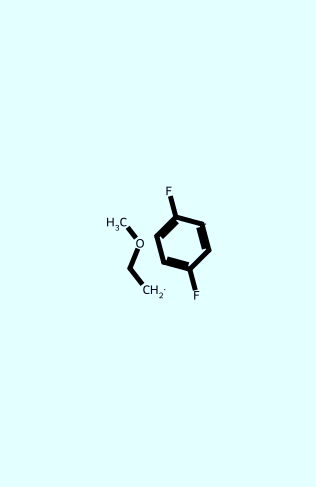 Fc1[c]cc(F)cc1.[CH2]COC